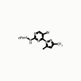 CCCCCNc1ncc(Br)c(-n2nc(C(F)(F)F)cc2C)n1